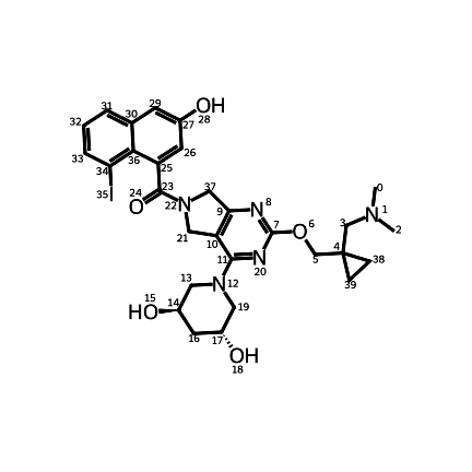 CN(C)CC1(COc2nc3c(c(N4C[C@H](O)C[C@@H](O)C4)n2)CN(C(=O)c2cc(O)cc4cccc(I)c24)C3)CC1